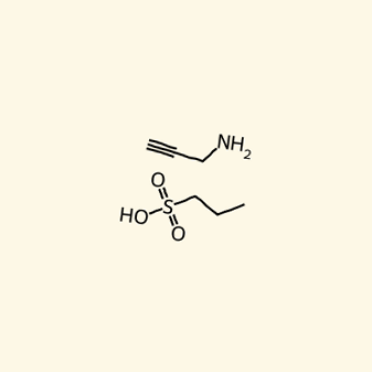 C#CCN.CCCS(=O)(=O)O